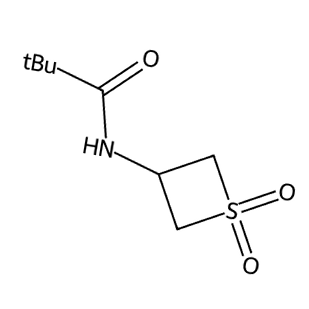 CC(C)(C)C(=O)NC1CS(=O)(=O)C1